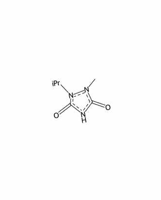 CC(C)n1c(=O)[nH]c(=O)n1C